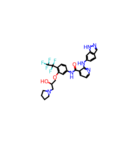 O=C(Nc1ccc(C(F)(F)C(F)(F)F)c(OCC(O)CN2CCCC2)c1)c1cccnc1Nc1ccc2cn[nH]c2c1